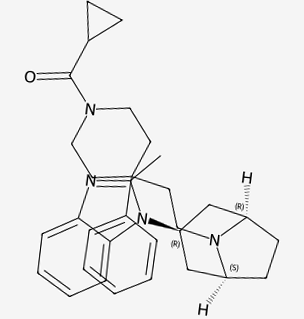 Cc1nc2ccccc2n1[C@H]1C[C@H]2CC[C@@H](C1)N2CCC1(c2ccccc2)CCN(C(=O)C2CC2)CC1